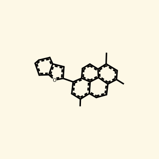 Cc1cc(C)c2ccc3c(-c4cc5ccccc5o4)cc(C)c4ccc1c2c43